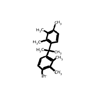 C[C](C)c1ccc(C(C)(C)c2ccc(C)c(C)c2C)c(C)c1C